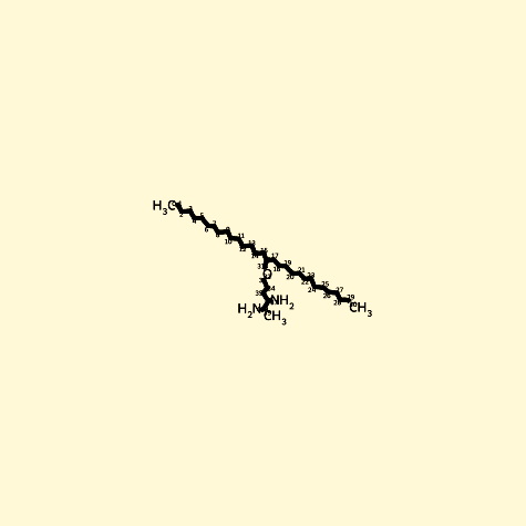 CCCCCCCCCCCCCCCCC(CCCCCCCCCCCCCC)COCCCC(N)C(C)N